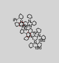 CC(C)c1ccccc1N(c1cc2c3c(c1)n(-c1c(-c4ccccc4)cccc1-c1ccccc1)c1cc4c(cc1n3c1ccccc1n2-c1ccccc1)n1c2ccccc2n(-c2ccccc2)c2cc(N(c3ccccc3C(C)(C)C)c3ccccc3C(C)(C)C)cc(c21)n4-c1ccccc1)c1ccccc1C(C)(C)C